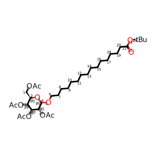 CC(=O)OC[C@H]1O[C@@H](OCCCCCCCCCCCCCCCC(=O)OC(C)(C)C)[C@H](OC(C)=O)[C@@H](OC(C)=O)[C@@H]1OC(C)=O